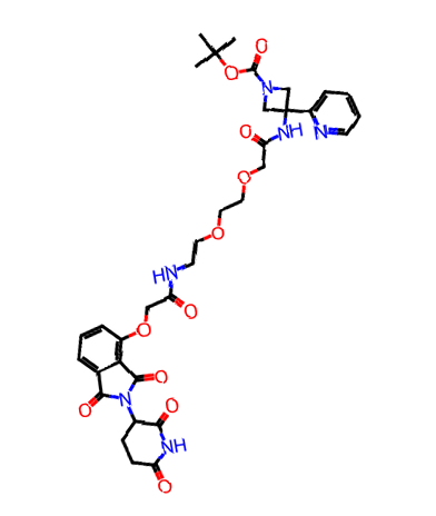 CC(C)(C)OC(=O)N1CC(NC(=O)COCCOCCNC(=O)COc2cccc3c2C(=O)N(C2CCC(=O)NC2=O)C3=O)(c2ccccn2)C1